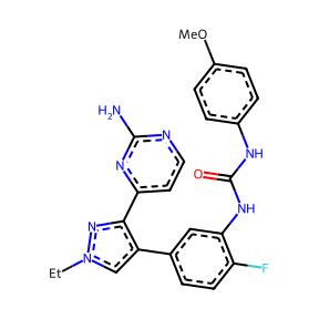 CCn1cc(-c2ccc(F)c(NC(=O)Nc3ccc(OC)cc3)c2)c(-c2ccnc(N)n2)n1